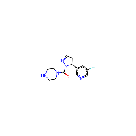 O=C(N1CCNCC1)N1N=CC[C@H]1c1cncc(F)c1